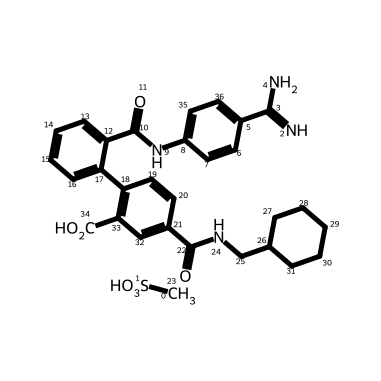 CS(=O)(=O)O.N=C(N)c1ccc(NC(=O)c2ccccc2-c2ccc(C(=O)NCC3CCCCC3)cc2C(=O)O)cc1